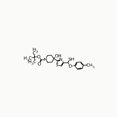 Cc1ccc(OC(S)c2csc(C3(O)CCN(C(=O)OC(C)(C)C)CC3)n2)cc1